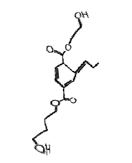 CCC=C1C=C(C(=O)OCCCCO)C=CC1C(=O)OCCO